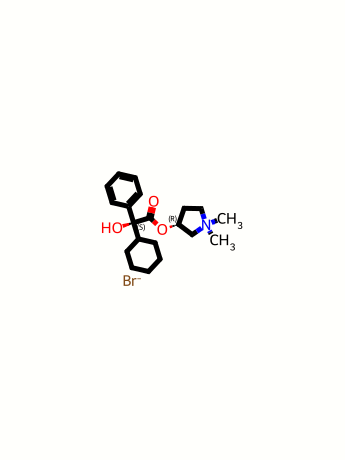 C[N+]1(C)CC[C@@H](OC(=O)[C@@](O)(c2ccccc2)C2CCCCC2)C1.[Br-]